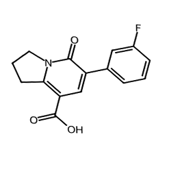 O=C(O)c1cc(-c2cccc(F)c2)c(=O)n2c1CCC2